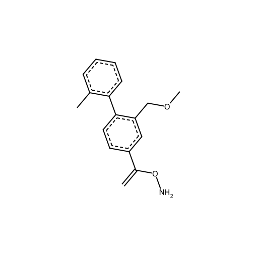 C=C(ON)c1ccc(-c2ccccc2C)c(COC)c1